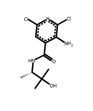 C[C@H](NC(=O)c1cc(Cl)nc(Cl)c1N)C(C)(C)O